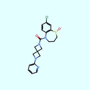 O=C(N1CC2(C1)CN(c1ccccn1)C2)N1CCC[S+]([O-])c2cc(Cl)ccc21